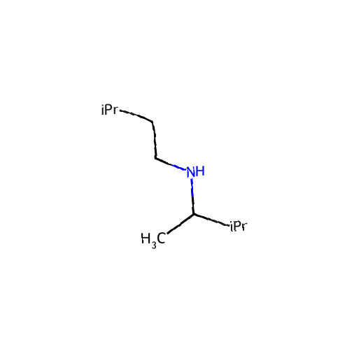 CC(C)CCNC(C)C(C)C